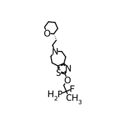 CC(F)(P)COc1nc2c(s1)CCN(CC[C@H]1CCCCO1)CC2